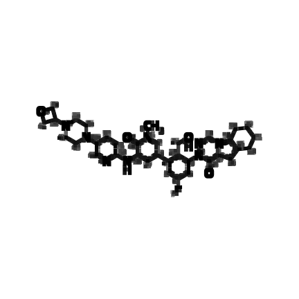 Cn1cc(-c2cc(F)cc(-n3ncn4c5c(cc4c3=O)CCCC5)c2CO)cc(Nc2ccc(N3CCN(C4COC4)CC3)cn2)c1=O